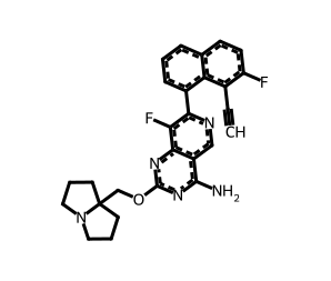 C#Cc1c(F)ccc2cccc(-c3ncc4c(N)nc(OCC56CCCN5CCC6)nc4c3F)c12